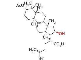 C=C(CC[C@@H](C(=O)O)[C@H]1[C@H](O)C[C@@]2(C)C3=C(CC[C@]12C)[C@@]1(C)CC[C@H](OC(C)=O)C(C)(C)[C@@H]1CC3)C(C)C